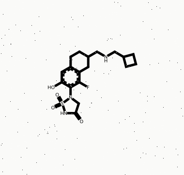 O=C1CN(c2c(O)cc3c(c2F)CC(CNCC2CCC2)CC3)S(=O)(=O)N1